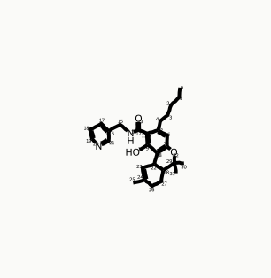 CCCCCc1cc2c(c(O)c1C(=O)NCc1cccnc1)C1C=C(C)CCC1C(C)(C)O2